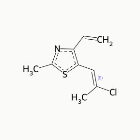 C=Cc1nc(C)sc1/C=C(\C)Cl